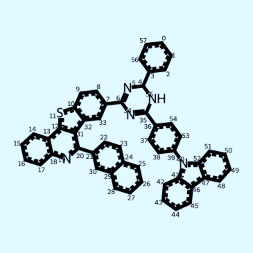 c1ccc(C2N=C(c3ccc4sc5c6ccccc6nc(-c6ccc7ccccc7c6)c5c4c3)N=C(c3ccc(-n4c5ccccc5c5ccccc54)cc3)N2)cc1